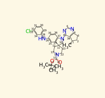 CC1CCc2ncnc(N3CC4(CCN(C(=O)OC(C)(C)C)CC4)c4cc(Nc5cccc(Cl)c5)ccc43)c21